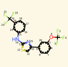 FC(F)(F)Oc1cccc(-c2csc(Nc3cccc(C(F)(F)F)c3)n2)c1